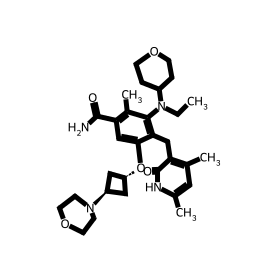 CCN(c1c(C)c(C(N)=O)cc(O[C@H]2C[C@H](N3CCOCC3)C2)c1Cc1c(C)cc(C)[nH]c1=O)C1CCOCC1